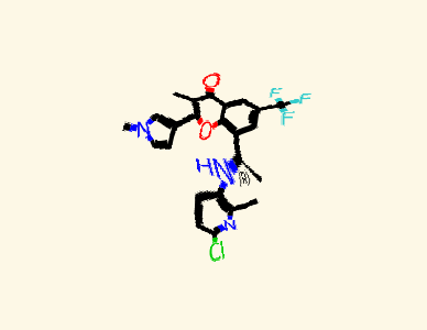 Cc1nc(Cl)ccc1N[C@H](C)c1cc(C(F)(F)F)cc2c(=O)c(C)c(-c3ccn(C)c3)oc12